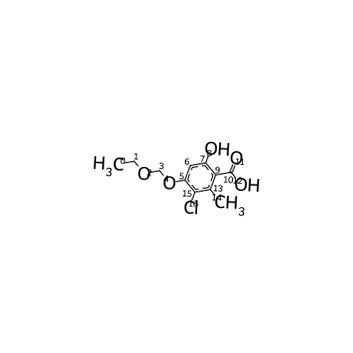 CCOCOc1cc(O)c(C(=O)O)c(C)c1Cl